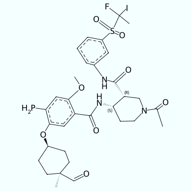 COc1cc(P)c(O[C@H]2CC[C@@](C)(C=O)CC2)cc1C(=O)N[C@H]1CCN(C(C)=O)C[C@H]1C(=O)Nc1cccc(S(=O)(=O)C(C)(F)I)c1